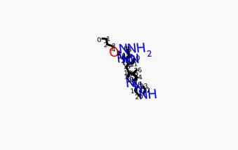 CCCCOc1nc(N)c2ncc(Cc3cnc(N4CCNCC4)cc3C)n2n1